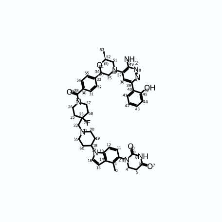 Cc1c(N2CCC(=O)NC2=O)ccc2c1ccn2C1CCN(CC2(F)CCN(C(=O)c3ccc([C@@H]4CN(c5cc(-c6ccccc6O)nnc5N)C[C@H](C)O4)cc3)CC2)CC1